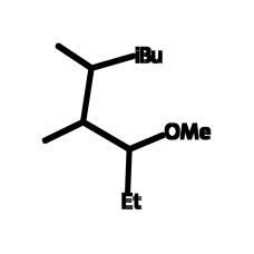 CCC(C)C(C)C(C)C(CC)OC